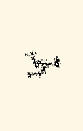 CC(C)OC(=O)CCC/C=C\C[C@@H]1[C@@H](/C=C/C(COc2cccc(C(F)(F)F)c2)OC(=O)CCNC(=O)COCCO[N+](=O)[O-])[C@H](O)C[C@@H]1O